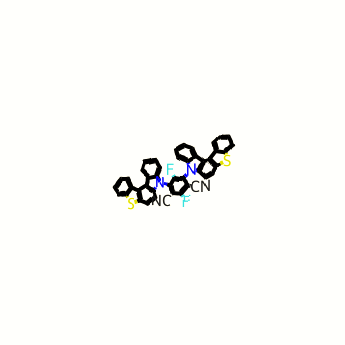 N#Cc1c(F)c(C#N)c(-n2c3ccccc3c3c4c(ccc32)sc2ccccc24)c(F)c1-n1c2ccccc2c2c3c(ccc21)sc1ccccc13